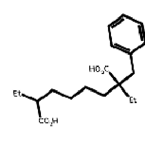 CCC(CCCCC(CC)(Cc1ccccc1)C(=O)O)C(=O)O